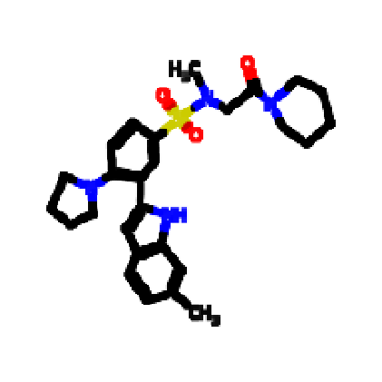 Cc1ccc2cc(-c3cc(S(=O)(=O)N(C)CC(=O)N4CCCCC4)ccc3N3CCCC3)[nH]c2c1